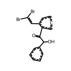 O=C(c1ccccc1C=C(Br)Br)C(O)c1ccccc1